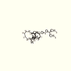 CC(C)OCOc1ccc2c(c1)[C@@]1(C)CCCCC[C@@H](C2)[C@@H]1N